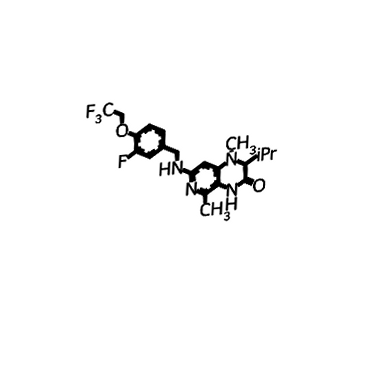 Cc1nc(NCc2ccc(OCC(F)(F)F)c(F)c2)cc2c1NC(=O)C(C(C)C)N2C